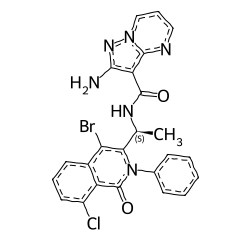 C[C@H](NC(=O)c1c(N)nn2cccnc12)c1c(Br)c2cccc(Cl)c2c(=O)n1-c1ccccc1